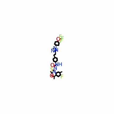 Cc1cc(N2C(=O)CSC2=NC(=O)Nc2ccc(C=Cc3ncn(-c4ccc(OC(F)(F)F)cc4)n3)cc2)c(C(C)C)cc1F